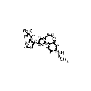 CCNc1ccc2c(c1)OCCn1cc(-c3ncnn3CC(F)(F)F)nc1-2